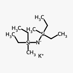 CC[Si](C)(CC)[N-][Si](C)(CC)CC.[K+]